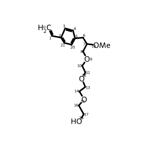 C=Cc1ccc(CC(COCCOCCOCCO)OC)cc1